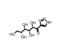 O=C(c1c[nH]nn1)[C@H](O)[C@@H](O)[C@H](O)[C@H](O)CO